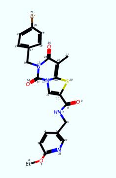 CCOc1ccc(CNC(=O)c2cn3c(=O)n(Cc4ccc(Br)cc4)c(=O)c(C)c3s2)cn1